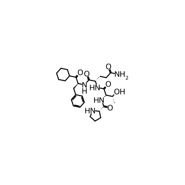 C[C@@H](O)[C@H](NC(=O)[C@@H]1CCCN1)C(=O)N[C@@H](CCC(N)=O)C(=O)N[C@@H](Cc1ccccc1)C(=O)C1CCCCC1